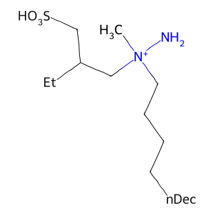 CCCCCCCCCCCCCC[N+](C)(N)CC(CC)CS(=O)(=O)O